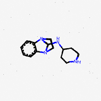 c1ccc2c(c1)N1CCN2C1NC1CCNCC1